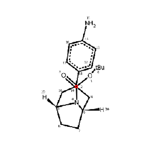 CC(C)(C)OC(=O)N1[C@@H]2CC[C@H]1CC(c1ccc(N)cc1)C2